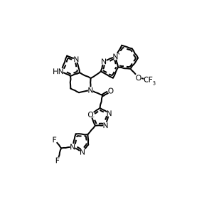 O=C(c1nnc(-c2cnn(C(F)F)c2)o1)N1CCc2[nH]cnc2C1c1cc2c(OC(F)(F)F)cccn2n1